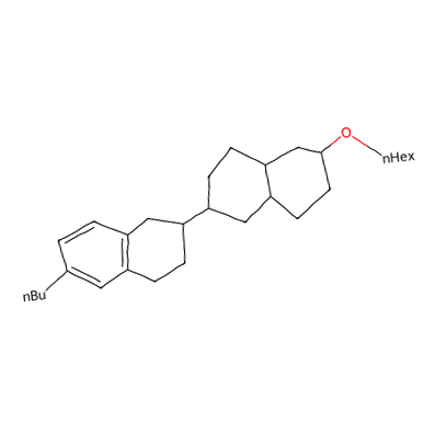 CCCCCCOC1CCC2CC(C3CCc4cc(CCCC)ccc4C3)CCC2C1